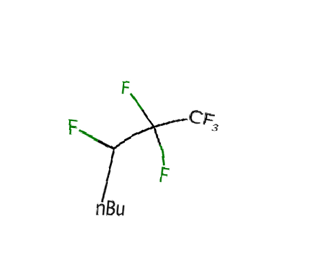 CCCCC(F)C(F)(F)C(F)(F)F